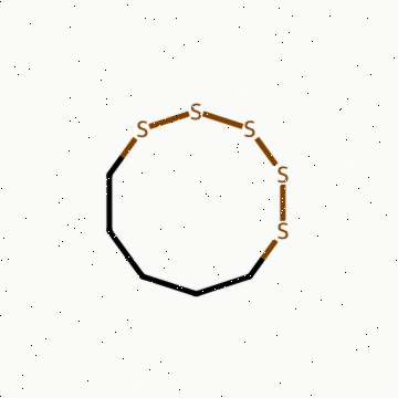 C1CCSSSSSCC1